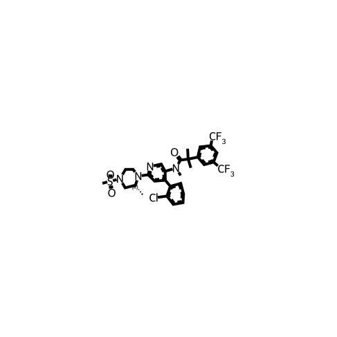 C[C@@H]1CN(S(C)(=O)=O)CCN1c1cc(-c2ccccc2Cl)c(N(C)C(=O)C(C)(C)c2cc(C(F)(F)F)cc(C(F)(F)F)c2)cn1